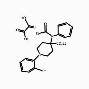 CCOC(=O)C1(N(C(=O)CC)c2ccccc2)CCN(c2ccccc2CC)CC1.O=C(O)C(=O)O